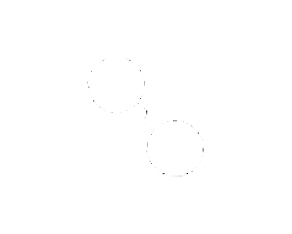 C1CCCCCCCC(CCC2CCCCCCCCCCCCCC2)CCCCCC1